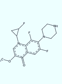 O=C(O)Oc1cn(C2CC2F)c2c(F)c(N3CCNCC3)c(F)cc2c1=O